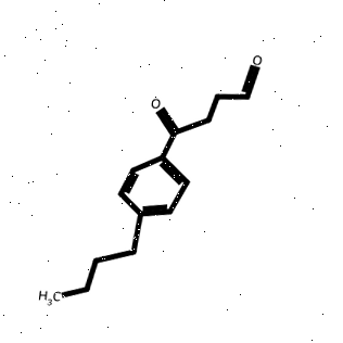 CCCCc1ccc(C(=O)CCC=O)cc1